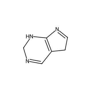 C1=NCNC2=C1CC=N2